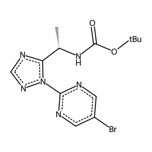 C[C@H](NC(=O)OC(C)(C)C)c1ncnn1-c1ncc(Br)cn1